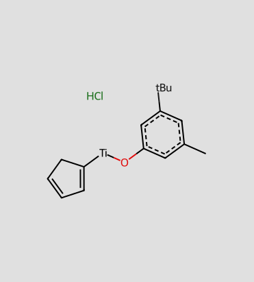 Cc1cc([O][Ti][C]2=CC=CC2)cc(C(C)(C)C)c1.Cl